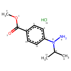 COC(=O)c1ccc(N(N)C(C)C)cc1.Cl